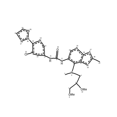 COCC(CN(C)c1c(NC(=O)Nc2cnc(-n3nccn3)c(Cl)c2)cnc2sc(C)nc12)OC